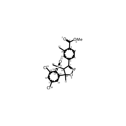 COC(=O)c1ccc(C2=NOC(C)(c3cc(Cl)cc(Cl)c3)C2S(C)(=O)=O)cc1C